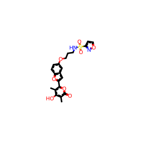 Cc1c(-c2cc3cc(OCCCNS(=O)(=O)c4ccon4)ccc3o2)oc(=O)c(C)c1O